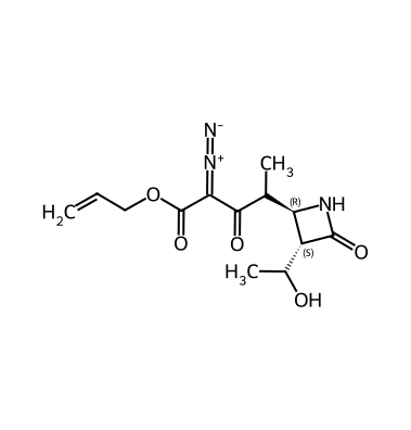 C=CCOC(=O)C(=[N+]=[N-])C(=O)C(C)[C@H]1NC(=O)[C@@H]1C(C)O